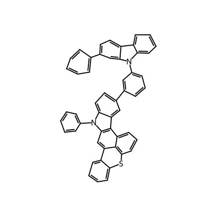 c1ccc(-c2ccc3c4ccccc4n(-c4cccc(-c5ccc6c(c5)c5c7cccc8c7c(cc5n6-c5ccccc5)-c5ccccc5S8)c4)c3c2)cc1